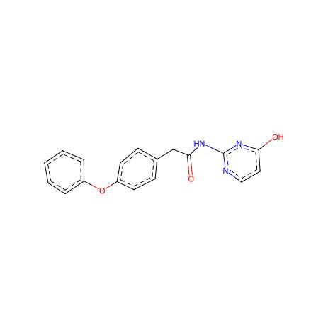 O=C(Cc1ccc(Oc2ccccc2)cc1)Nc1nccc(O)n1